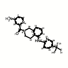 Nc1ccnc(C(=O)N2CCc3c(cccc3Nc3ccc(C(F)(F)F)cn3)C2)c1